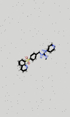 C/N=C(\NCc1ccc(S(=O)(=O)c2cccc3cccnc23)cc1)Nc1ccncc1